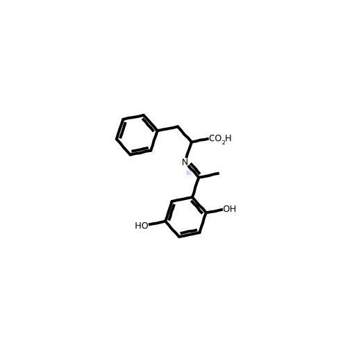 C/C(=N\C(Cc1ccccc1)C(=O)O)c1cc(O)ccc1O